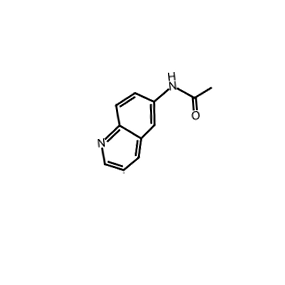 CC(=O)Nc1ccc2nc[c]cc2c1